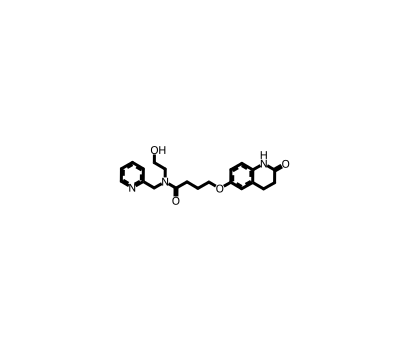 O=C1CCc2cc(OCCCC(=O)N(CCO)Cc3ccccn3)ccc2N1